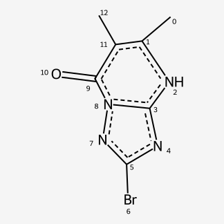 Cc1[nH]c2nc(Br)nn2c(=O)c1C